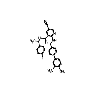 Cc1cc(-c2ccc(CNc3ncc(C#N)cc3C(=O)N[C@@H](C)c3ccc(F)cc3)cc2)cnc1N